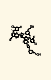 C[C@H](c1ccc(Cl)cc1Cl)n1nc(C#N)c2ncc(N3CC([C@H]4CC(C[C@H](c5ccc(Cl)cc5Cl)n5nc(C#N)c6ncc(N7CC([C@@H]8CCCN(CCO)C8)C7)nc65)CN(CCO)C4)C3)nc21